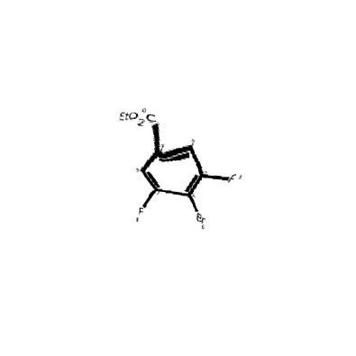 CCOC(=O)c1cc(F)c(Br)c(F)c1